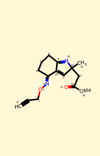 C#CCON=C1CCCC2=NC(C)(CC(=O)OC)C=C12